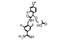 CC(=O)O.CCOC(C(=O)NCc1c(F)cc(C(=N)N)cc1F)c1ccc(OC)cc1F